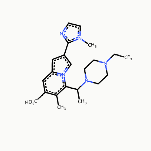 Cc1c(C(=O)O)cc2cc(-c3nccn3C)cn2c1C(C)N1CCN(CC(F)(F)F)CC1